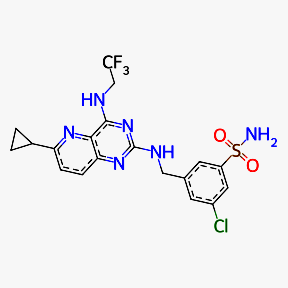 NS(=O)(=O)c1cc(Cl)cc(CNc2nc(NCC(F)(F)F)c3nc(C4CC4)ccc3n2)c1